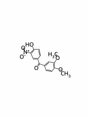 COc1ccc(C(=O)c2ccc(O)c([N+](=O)[O-])c2)cc1OC